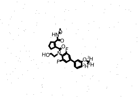 [2H]C([2H])([2H])Oc1cccc(-c2cc(F)c(N(CCO)C(=O)C3=C(C(=O)NOC)CCC3)c(F)c2)c1